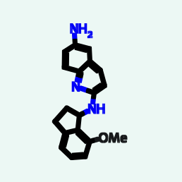 COc1cccc2c1C(Nc1ccc3cc(N)ccc3n1)CC2